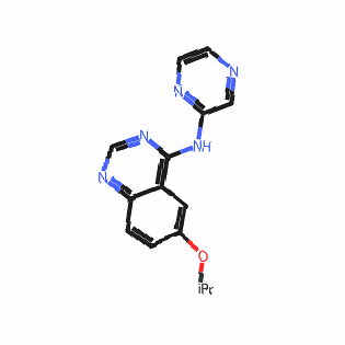 CC(C)Oc1ccc2ncnc(Nc3cnccn3)c2c1